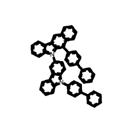 c1ccc(-c2ccc(-c3c4ccccc4cc4c5ccccc5n(-c5ccc6c(c5)c5ccccc5n6-c5ccc(-c6ccccc6)cc5)c34)cc2)cc1